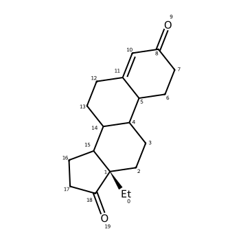 CC[C@]12CCC3C4CCC(=O)C=C4CCC3C1CCC2=O